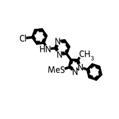 CSc1nn(-c2ccccc2)c(C)c1-c1ccnc(Nc2cccc(Cl)c2)n1